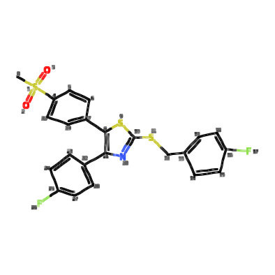 CS(=O)(=O)c1ccc(-c2sc(SCc3ccc(F)cc3)nc2-c2ccc(F)cc2)cc1